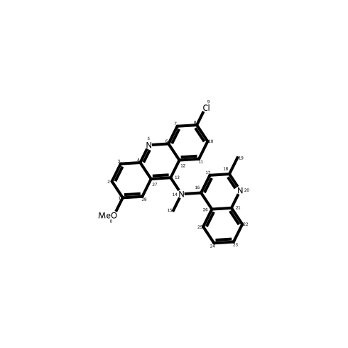 COc1ccc2nc3cc(Cl)ccc3c(N(C)c3cc(C)nc4ccccc34)c2c1